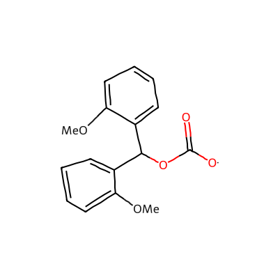 COc1ccccc1C(OC([O])=O)c1ccccc1OC